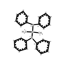 C[Si](C)(N(c1ccccc1)c1ccccc1)N(c1ccccc1)c1ccccc1